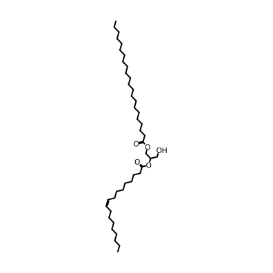 CCCCCCCC/C=C\CCCCCCCC(=O)OC(CO)COC(=O)CCCCCCCCCCCCCCCCCCCCC